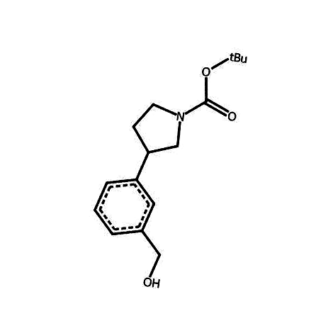 CC(C)(C)OC(=O)N1CCC(c2cccc(CO)c2)C1